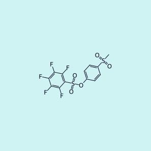 CS(=O)(=O)c1ccc(OS(=O)(=O)c2c(F)c(F)c(F)c(F)c2F)cc1